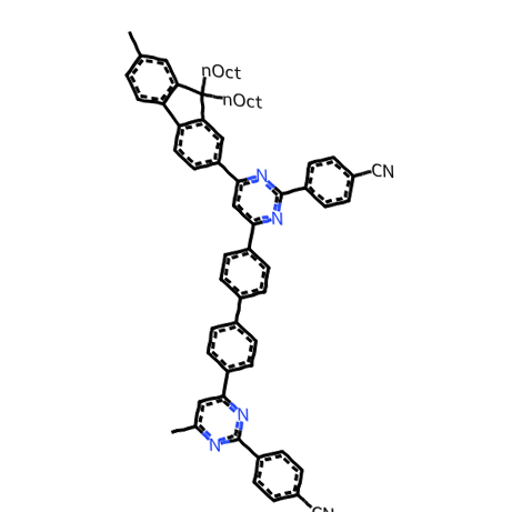 CCCCCCCCC1(CCCCCCCC)c2cc(C)ccc2-c2ccc(-c3cc(-c4ccc(-c5ccc(-c6cc(C)nc(-c7ccc(C#N)cc7)n6)cc5)cc4)nc(-c4ccc(C#N)cc4)n3)cc21